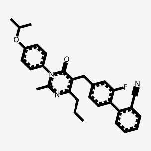 CCCc1nc(C)n(-c2ccc(OC(C)C)cc2)c(=O)c1Cc1ccc(-c2ccccc2C#N)c(F)c1